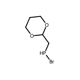 BrPCC1OCCCO1